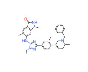 CCn1nc(-c2ccc(C3=CCC(C)N(Cc4ccccc4)C3)c(C)c2)nc1Nc1cc2c(cc1C)C(=O)NC2C